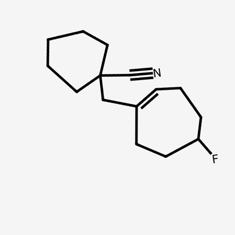 N#CC1(CC2=CCCC(F)CC2)CCCCC1